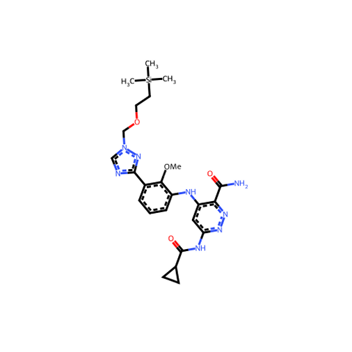 COc1c(Nc2cc(NC(=O)C3CC3)nnc2C(N)=O)cccc1-c1ncn(COCC[Si](C)(C)C)n1